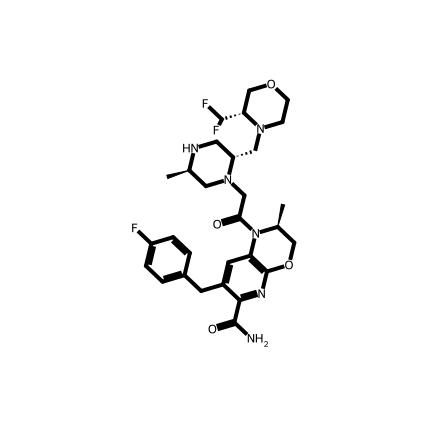 C[C@@H]1CN(CC(=O)N2c3cc(Cc4ccc(F)cc4)c(C(N)=O)nc3OC[C@@H]2C)[C@@H](CN2CCOC[C@H]2C(F)F)CN1